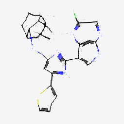 O=C(O)[C@@H]1C2CCC(CC2)[C@H]1Nc1cc(-c2cccs2)nc(-c2c[nH]c3ncc(Cl)nc23)n1